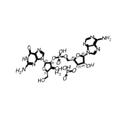 C=C1[C@@H](OP(=O)(O)OC[C@H]2O[C@@H](n3cnc4c(N)ncnc43)[C@H](O)[C@@H]2O[PH](=O)O)[C@H](n2cnc3c(=O)[nH]c(N)nc32)O[C@@H]1CO